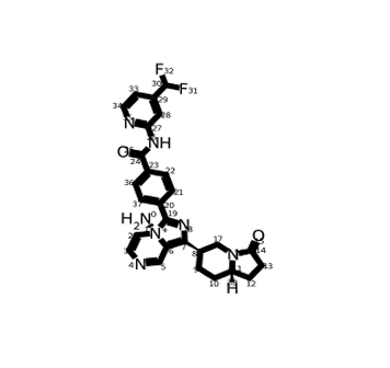 N[N+]12C=CN=CC1=C([C@@H]1CC[C@H]3CCC(=O)N3C1)N=C2c1ccc(C(=O)Nc2cc(C(F)F)ccn2)cc1